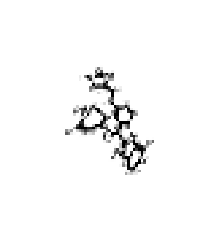 CN1CCC(OC(c2cccc(CCc3cn(C)cn3)c2)c2nc3ccccc3s2)CC1